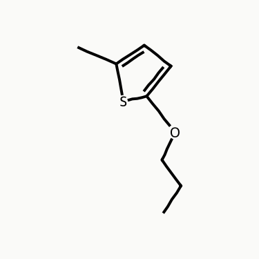 CCCOc1ccc(C)s1